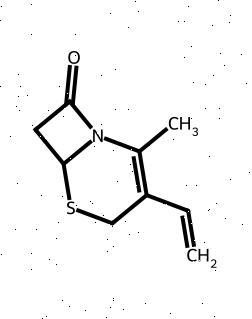 C=CC1=C(C)N2C(=O)CC2SC1